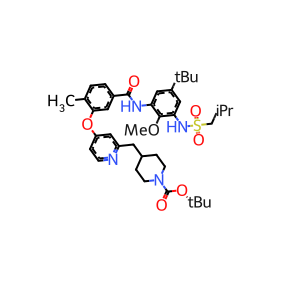 COc1c(NC(=O)c2ccc(C)c(Oc3ccnc(CC4CCN(C(=O)OC(C)(C)C)CC4)c3)c2)cc(C(C)(C)C)cc1NS(=O)(=O)CC(C)C